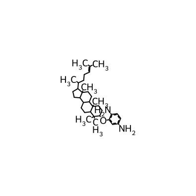 CC(C)=CCCC(C)C1CCC2C3CCC4C(C)(C)C(Oc5cc(N)ccc5N)CCC4(C)C3CCC12C